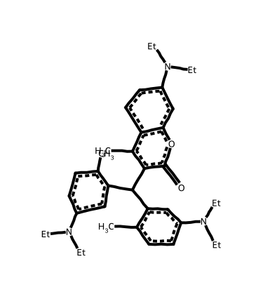 CCN(CC)c1ccc(C)c(C(c2cc(N(CC)CC)ccc2C)c2c(C)c3ccc(N(CC)CC)cc3oc2=O)c1